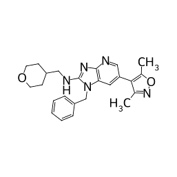 Cc1noc(C)c1-c1cnc2nc(NCC3CCOCC3)n(Cc3ccccc3)c2c1